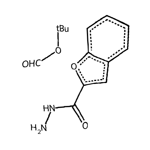 CC(C)(C)OC=O.NNC(=O)c1cc2ccccc2o1